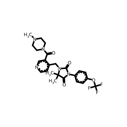 CN1CCN(C(=O)c2cnccc2CN2C(=O)N(c3ccc(OC(F)(F)F)cc3)C(=O)C2(C)C)CC1